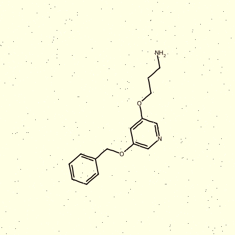 NCCCOc1cncc(OCc2ccccc2)c1